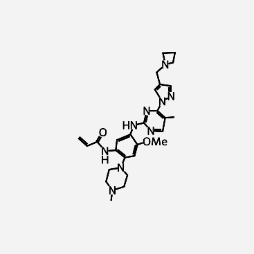 C=CC(=O)Nc1cc(Nc2ncc(C)c(-n3cc(CN4CCC4)cn3)n2)c(OC)cc1N1CCN(C)CC1